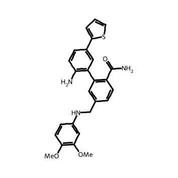 COc1ccc(NCc2ccc(C(N)=O)c(-c3cc(-c4cccs4)ccc3N)c2)cc1OC